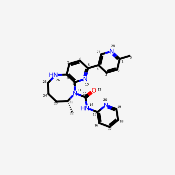 Cc1ccc(-c2ccc3c(n2)N(C(=O)Nc2ccccn2)[C@H](C)CCCN3)cn1